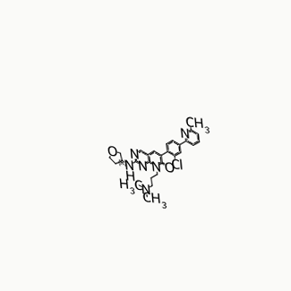 Cc1cccc(-c2ccc(-c3cc4cnc(N[C@@H]5CCOC5)nc4n(CCCN(C)C)c3=O)c(Cl)c2)n1